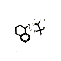 NC1CCCc2ccccc21.O=C(O)C(F)(F)F